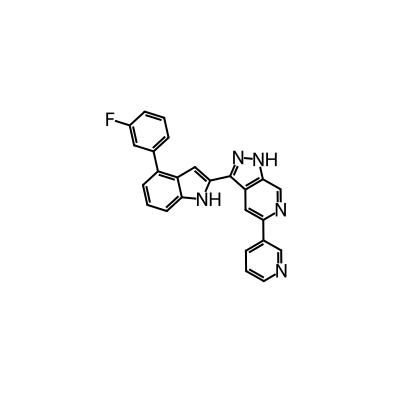 Fc1cccc(-c2cccc3[nH]c(-c4n[nH]c5cnc(-c6cccnc6)cc45)cc23)c1